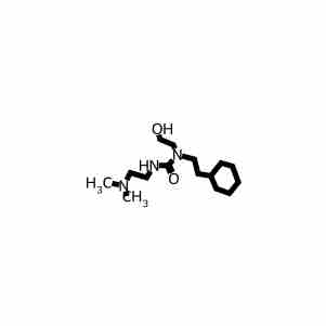 CN(C)CCNC(=O)N(CCO)CCC1CCCCC1